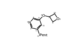 CCCC(C)c1cncc(OC2COC2)c1